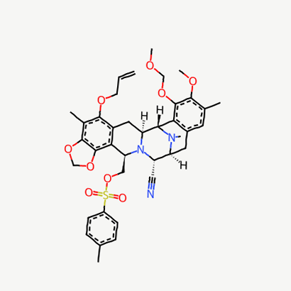 C=CCOc1c(C)c2c(c3c1C[C@H]1[C@@H]4c5c(cc(C)c(OC)c5OCOC)C[C@@H]([C@H](C#N)N1[C@H]3COS(=O)(=O)c1ccc(C)cc1)N4C)OCO2